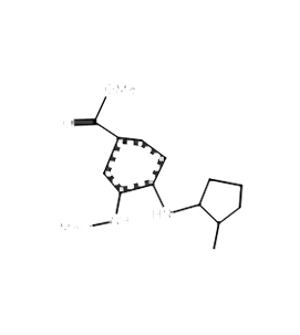 CONc1cc(C(=O)OC)ccc1NC1CCCC1C